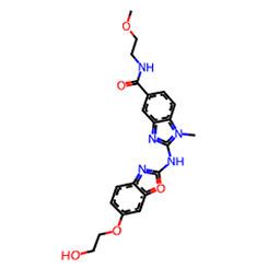 COCCNC(=O)c1ccc2c(c1)nc(Nc1nc3ccc(OCCO)cc3o1)n2C